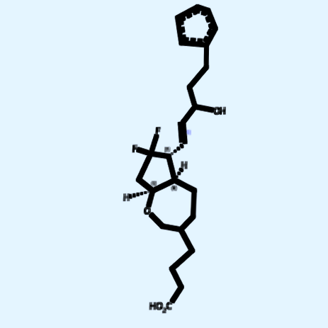 O=C(O)CCCC1CC[C@H]2[C@H](CC(F)(F)[C@@H]2/C=C/C(O)CCc2ccccc2)OC1